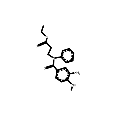 CCOC(=O)CCN(C(=O)c1ccc(NC)c(N)c1)c1ccccc1